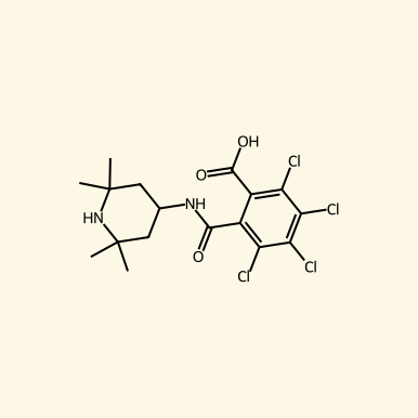 CC1(C)CC(NC(=O)c2c(Cl)c(Cl)c(Cl)c(Cl)c2C(=O)O)CC(C)(C)N1